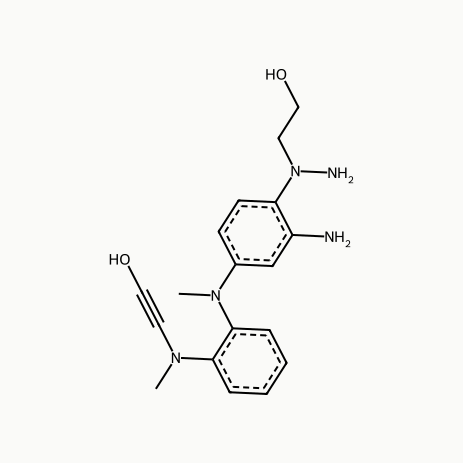 CN(C#CO)c1ccccc1N(C)c1ccc(N(N)CCO)c(N)c1